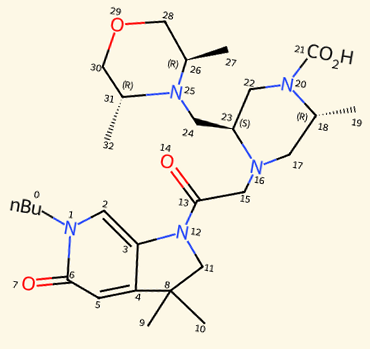 CCCCn1cc2c(cc1=O)C(C)(C)CN2C(=O)CN1C[C@@H](C)N(C(=O)O)C[C@@H]1CN1[C@H](C)COC[C@H]1C